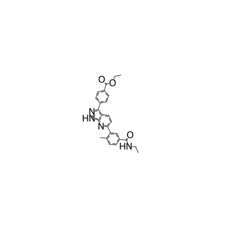 CCNC(=O)c1ccc(C)c(-c2ccc3c(-c4ccc(C(=O)OCC)cc4)n[nH]c3n2)c1